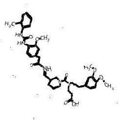 COc1cc(CC(=O)NCC2CCCN(C(=O)N(CCC(=O)O)CCc3ccc(OC)c(OC)c3)C2)ccc1NC(=O)Nc1ccccc1C